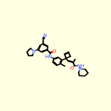 C/C(=C\C1(c2cc(NC(=O)c3cc(C#N)cc(N4CCCC4)c3)ccc2C)C=CC1)C(=O)NN1CCCCC1